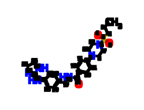 CCCS(=O)(=O)N1CCN(c2ccc(C(=O)NCc3ccc(NC4=NCCN4)cc3)cc2)CC1